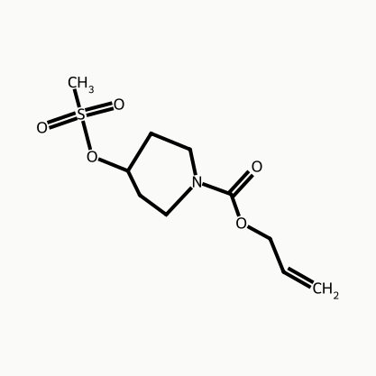 C=CCOC(=O)N1CCC(OS(C)(=O)=O)CC1